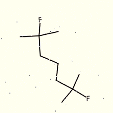 CC(C)(F)CCCC(C)(C)F